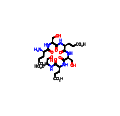 N[C@@H](CCC(=O)O)C(=O)N[C@@H](CO)C(=O)N[C@@H](CCC(=O)O)C(=O)N[C@@H](CO)C(=O)N[C@@H](CCC(=O)O)C(=O)N[C@@H](CO)C(=O)O